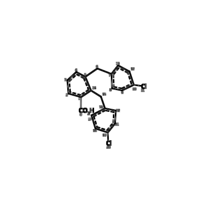 O=C(O)c1cccc(Cc2ccc(Cl)cc2)c1Cc1ccc(Cl)cc1